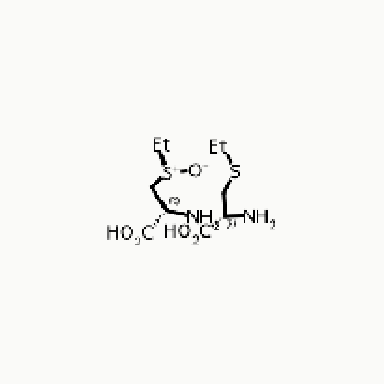 CCSC[C@H](N)C(=O)O.CC[S+]([O-])C[C@H](N)C(=O)O